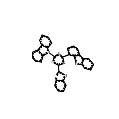 c1ccc2sc(-c3nc(-c4cccc5c4oc4ccccc45)nc(-n4c5ccccc5c5ccccc54)n3)nc2c1